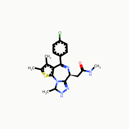 CNC(=O)C[C@@H]1N=C(c2ccc(Cl)cc2)c2c(sc(C)c2C)N2C1=NNC2C